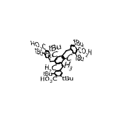 Cc1c(Cc2cc(C(C)(C)C)c(C(=O)O)c(C(C)(C)C)c2)c(C)c(Cc2cc(C(C)(C)C)c(C(=O)O)c(C(C)(C)C)c2)c(C)c1Cc1cc(C(C)(C)C)c(C(=O)O)c(C(C)(C)C)c1